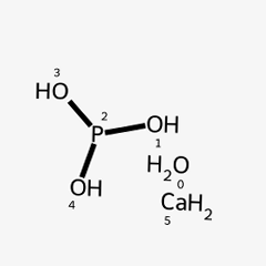 O.OP(O)O.[CaH2]